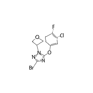 FC1=C(Cl)C=C(Oc2nc(Br)nn2C2COC2)CC1